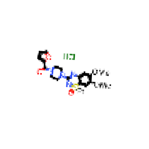 CCS1(=O)=NC(N2CCN(C(=O)c3ccco3)CC2)=Nc2cc(OC)c(OC)cc21.Cl